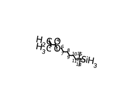 C=C(C)C(=O)OCCCCCCC([SiH3])(I)I